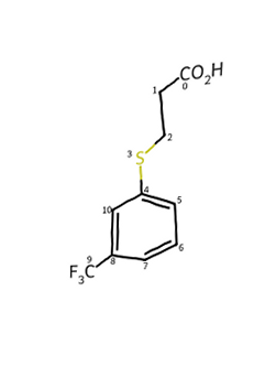 O=C(O)CCSc1cccc(C(F)(F)F)c1